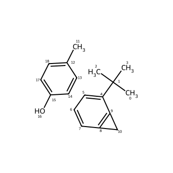 CC(C)(C)c1cccc2c1C2.Cc1ccc(O)cc1